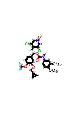 COc1ccc(N(C)C(=O)O[C@@H](Cc2c(Cl)c[n+]([O-])cc2Cl)c2ccc(OC(F)F)c(OCC3CC3)c2)cc1OC